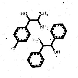 CC(N)C(O)c1ccc(Cl)cc1.NC(c1ccccc1)C(O)c1ccccc1